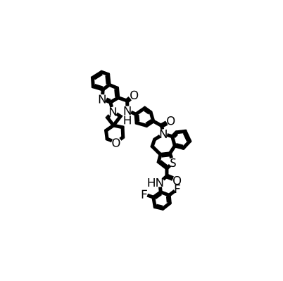 O=C(Nc1c(F)cccc1F)c1cc2c(s1)-c1ccccc1N(C(=O)c1ccc(NC(=O)c3cc4ccccc4nc3N3CC4(CCOCC4)C3)cc1)CC2